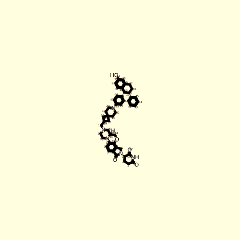 O=C1CC[C@H](N2Cc3c(ccc4c3OC[C@H]3CN(CC5CC6(CCN(c7ccc([C@@H]8c9ccc(O)cc9CC[C@@H]8c8ccccc8)cc7)CC6)C5)CCN43)C2=O)C(=O)N1